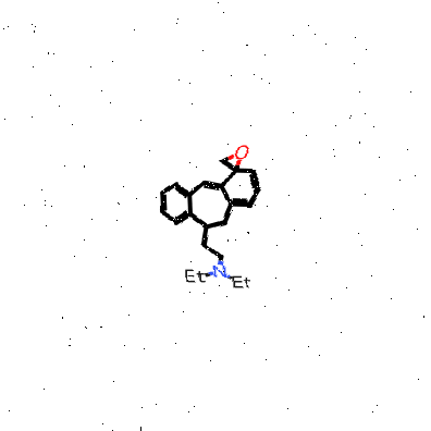 CCN(CC)CCC1CC2=CC=CC3(CO3)C2=Cc2ccccc21